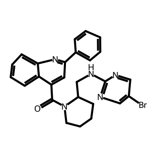 O=C(c1cc(-c2ccccc2)nc2ccccc12)N1CCCCC1CNc1ncc(Br)cn1